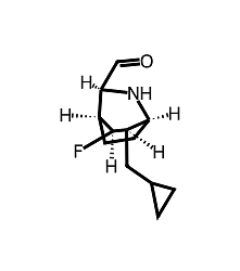 O=C[C@H]1N[C@H]2CC[C@@H]1[C@H](F)[C@@H]2CC1CC1